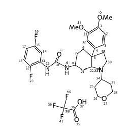 COc1ccc(C23CCC(NC(=O)Nc4cc(F)ccc4F)CC2N(C2CCOCC2)CC3)cc1OC.O=C(O)C(F)(F)F